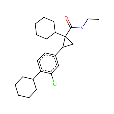 CCNC(=O)C1(C2CCCCC2)CC1c1ccc(C2CCCCC2)c(Cl)c1